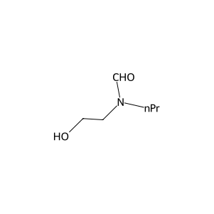 CCCN(C=O)CCO